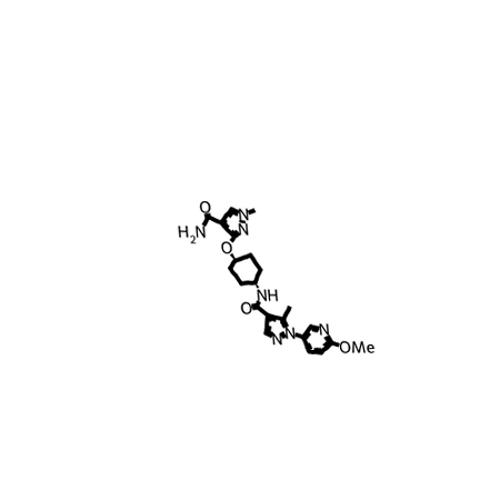 COc1ccc(-n2ncc(C(=O)N[C@H]3CC[C@H](Oc4nn(C)cc4C(N)=O)CC3)c2C)cn1